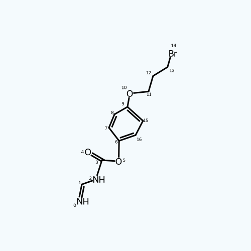 N=CNC(=O)Oc1ccc(OCCCBr)cc1